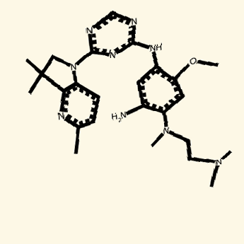 COc1cc(N(C)CCN(C)C)c(N)cc1Nc1ncnc(N2CC(C)(C)c3nc(C)ccc32)n1